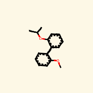 COc1ccccc1-c1ccc[c]c1OC(C)C